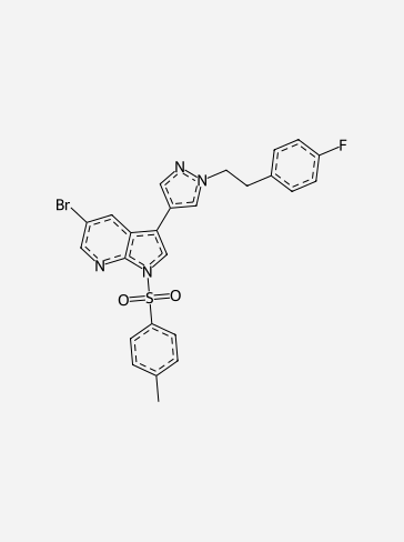 Cc1ccc(S(=O)(=O)n2cc(-c3cnn(CCc4ccc(F)cc4)c3)c3cc(Br)cnc32)cc1